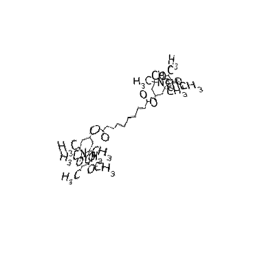 COC(=O)C(C)ON1C(C)(C)CC(OC(=O)CCCCCCCCC(=O)OC2CC(C)(C)N(OC(C)C(=O)OC)C(C)(C)C2)CC1(C)C